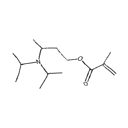 C=C(C)C(=O)OCCC(C)N(C(C)C)C(C)C